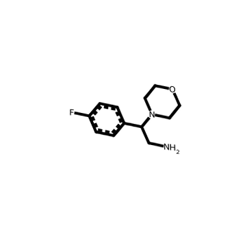 NCC(c1ccc(F)cc1)N1CCOCC1